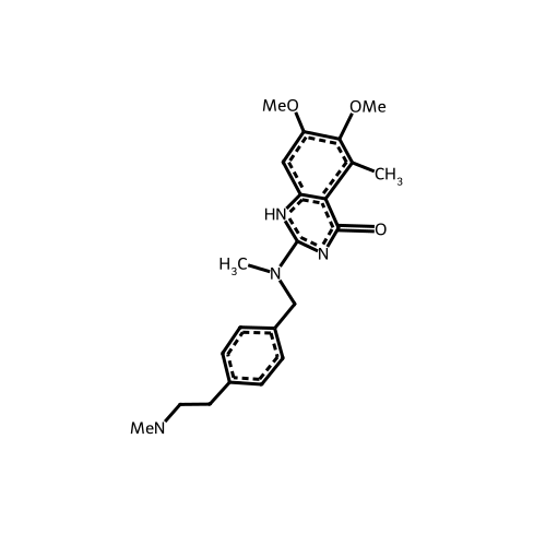 CNCCc1ccc(CN(C)c2nc(=O)c3c(C)c(OC)c(OC)cc3[nH]2)cc1